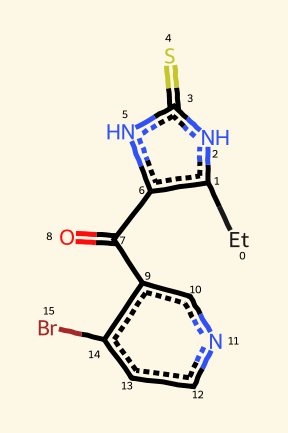 CCc1[nH]c(=S)[nH]c1C(=O)c1cnccc1Br